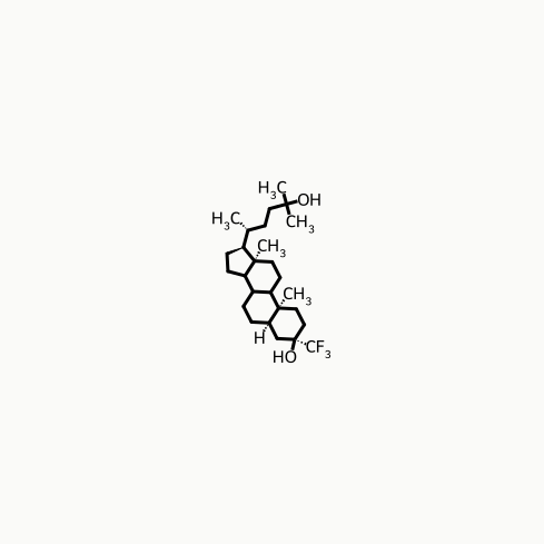 C[C@H](CCC(C)(C)O)[C@@H]1CCC2C3CC[C@@H]4C[C@@](O)(C(F)(F)F)CC[C@]4(C)C3CC[C@@]21C